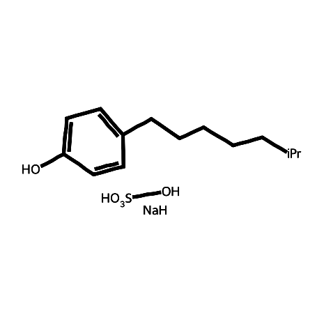 CC(C)CCCCCc1ccc(O)cc1.O=S(=O)(O)O.[NaH]